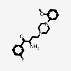 COc1ccccc1N1CCN(CCC(N)C(=O)c2cccc(F)c2)CC1